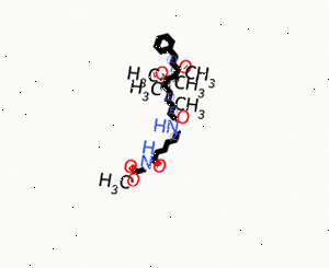 COC(=O)CNC(=O)CCC/C=C\NC(=O)/C=C(C)/C=C/[C@H](C)[C@H](OC)[C@H](C)[C@H](/C=C/c1ccccc1)OC